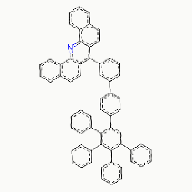 c1ccc(-c2cc(-c3ccc(-c4cccc(-c5c6ccc7ccccc7c6nc6c5ccc5ccccc56)c4)cc3)c(-c3ccccc3)c(-c3ccccc3)c2-c2ccccc2)cc1